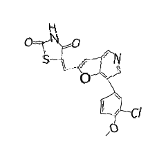 COc1ccc(-c2cncc3cc(/C=C4/SC(=O)NC4=O)oc23)cc1Cl